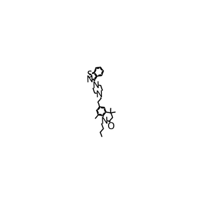 CCCCN1C(=O)CC(C)(C)c2cc(CCN3CCN(c4nsc5ccccc45)CC3)cc(C)c21